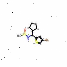 CC(C)(C)[S+]([O-])NC(c1cc(Br)cs1)C1CCCC1